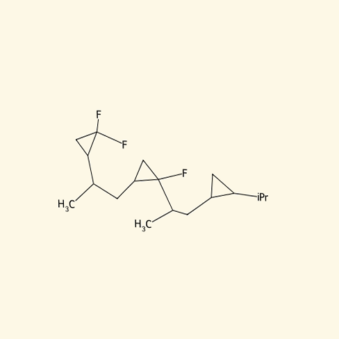 CC(C)C1CC1CC(C)C1(F)CC1CC(C)C1CC1(F)F